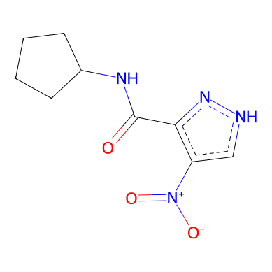 O=C(NC1CCCC1)c1n[nH]cc1[N+](=O)[O-]